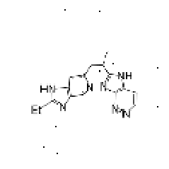 CCc1nc2cnc(CC(C)c3nc4nnccc4[nH]3)cc2[nH]1